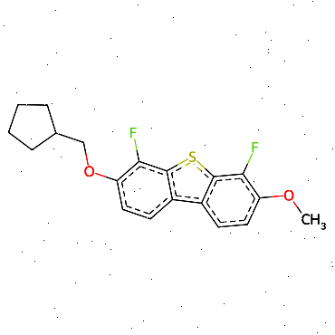 COc1ccc2c(sc3c(F)c(OCC4CCCC4)ccc32)c1F